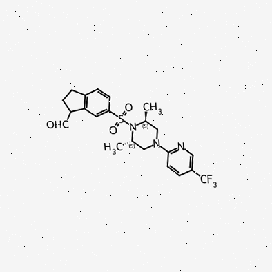 C[C@H]1CN(c2ccc(C(F)(F)F)cn2)C[C@H](C)N1S(=O)(=O)c1ccc2c(c1)C(C=O)CC2